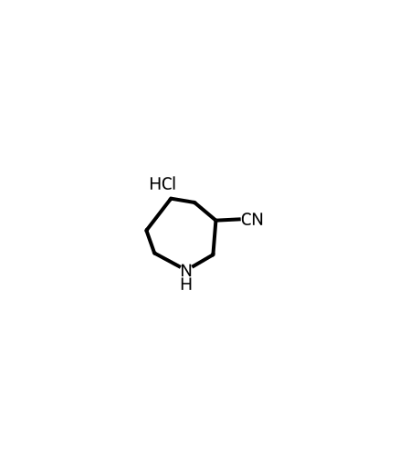 Cl.N#CC1CCCCNC1